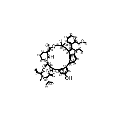 C=CC(=O)N(C)[C@H](C(=O)N[C@H]1Cc2cc(O)cc(c2)-c2ccc3c(c2)c(c(-c2cccnc2COC)n3CC)CC(C)(C)COC(=O)[C@@H]2CCCN(N2)C1=O)C(C)C